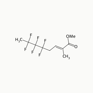 COC(=O)C(C)=CCC(F)(F)C(F)(F)C(C)(F)F